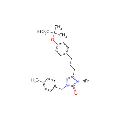 CCCn1c(CCCc2ccc(OC(C)(C)C(=O)OCC)cc2)cn(Cc2ccc(C)cc2)c1=O